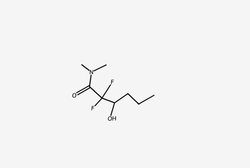 CCCC(O)C(F)(F)C(=O)N(C)C